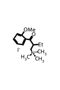 CCC(C[N+](C)(C)C)C(=O)c1ccccc1OC.[I-]